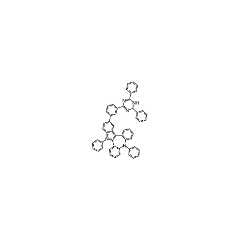 c1ccc(C2=NC(c3cccc(-c4ccc5c(c4)c4c(n5-c5ccccc5)-c5ccccc5N(c5ccccc5)c5ccccc5-4)c3)=NC(c3ccccc3)N2)cc1